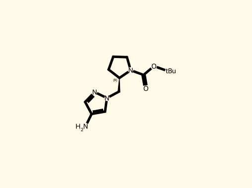 CC(C)(C)OC(=O)N1CCC[C@@H]1Cn1cc(N)cn1